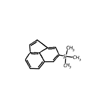 C[Si](C)(C)c1cc2c3c(cccc3c1)C=C2